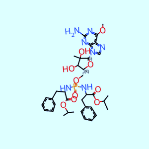 COc1nc(N)nc2c1ncn2[C@@H]1O[C@H](COP(=O)(NC(Cc2ccccc2)C(=O)OC(C)C)NC(Cc2ccccc2)C(=O)OC(C)C)C(O)C1(C)O